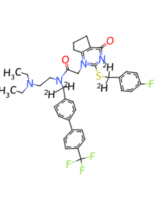 [2H]C([2H])(Sc1nc(=O)c2c(n1CC(=O)N(CCN(CC)CC)C([2H])([2H])c1ccc(-c3ccc(C(F)(F)F)cc3)cc1)CCC2)c1ccc(F)cc1